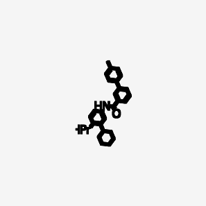 C[C](C)c1ccc(NC(=O)c2cccc(-c3ccc(C)cc3)c2)cc1C1CCCCC1